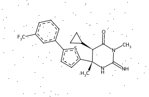 CN1C(=N)N[C@](C)(c2ccc(-c3cccc(C(F)(F)F)c3)s2)[C@@H](C2CC2)C1=O